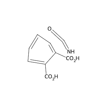 N=C=O.O=C(O)c1ccccc1C(=O)O